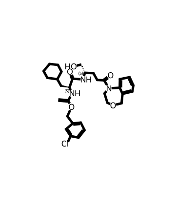 C=C(N[C@@H](CC1CCCCC1)C(=O)N[C@H](CO)CCC(=O)N1CCOCc2ccccc21)OCc1cccc(Cl)c1